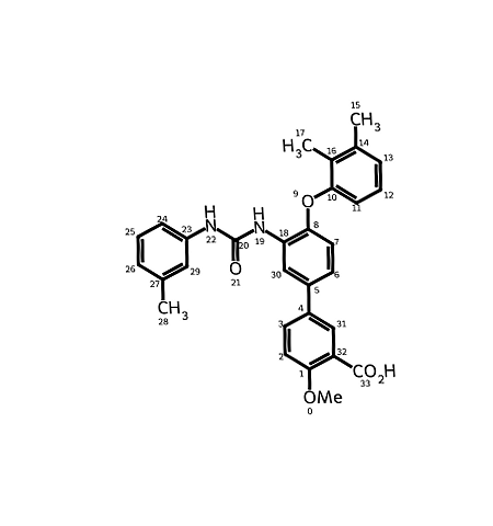 COc1ccc(-c2ccc(Oc3cccc(C)c3C)c(NC(=O)Nc3cccc(C)c3)c2)cc1C(=O)O